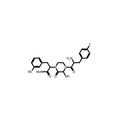 CCCC1C(=O)N(C(Cc2cccc(C#N)c2)C(=O)NC)CCN1C(=O)C(N)Cc1ccc(F)cc1